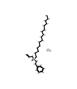 C=CC[N+](C)(CCCCCCCCCCCCCCCC)CCc1ccccc1.[Cl-]